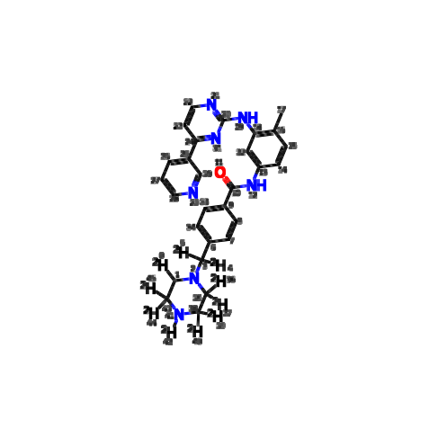 [2H]C1N(C([2H])([2H])c2ccc(C(=O)Nc3ccc(C)c(Nc4nccc(-c5cccnc5)n4)c3)cc2)C([2H])([2H])C([2H])([2H])N([2H])C1([2H])[2H]